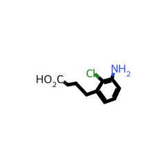 Nc1cccc(CCCC(=O)O)c1Cl